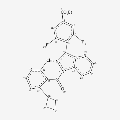 CCOC(=O)c1cc(F)c(-c2nn(C(=O)c3c(Cl)cccc3C3CCC3)c3cccnc23)c(F)c1